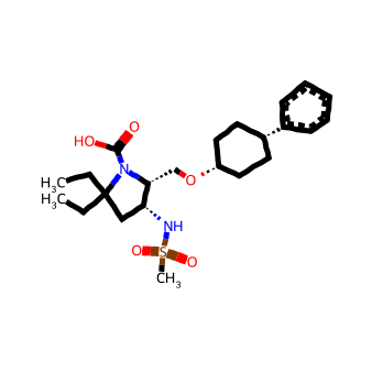 CCC1(CC)C[C@@H](NS(C)(=O)=O)[C@@H](CO[C@H]2CC[C@@H](c3ccccc3)CC2)N1C(=O)O